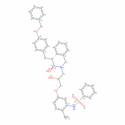 O=[N+]([O-])c1ccc(OCC(O)CN(Cc2ccccc2)[C@@H](O)CCc2ccc(OCc3ccccc3)cc2)cc1NS(=O)(=O)c1ccccc1